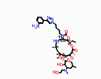 CC[C@H]1OC(=O)[C@H](C)C(=O)[C@H](C)[C@@H](O[C@@H]2OCC(C)CC(N(C)CCO)C2O)[C@](C)(OC)C[C@@H](C)CN[C@H](C)[C@H]2N(CCCCn3cc(-c4cccc(N)c4)nn3)C(=O)O[C@]12C